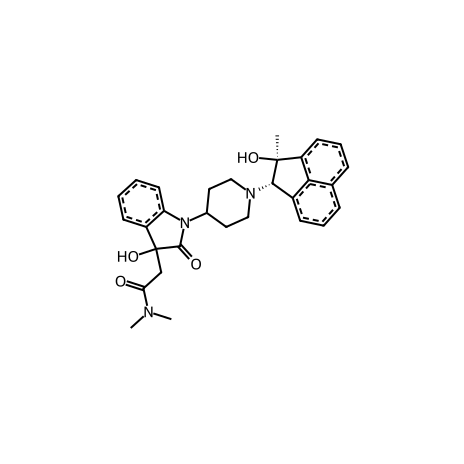 CN(C)C(=O)CC1(O)C(=O)N(C2CCN([C@H]3c4cccc5cccc(c45)[C@]3(C)O)CC2)c2ccccc21